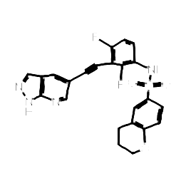 O=S(=O)(Nc1ccc(F)c(C#Cc2cnc3[nH]ncc3c2)c1F)c1ccc2c(c1)CCCO2